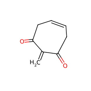 C=C1C(=O)CC=CCC1=O